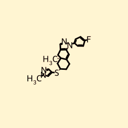 Cn1cc(S[C@H]2CCC3=Cc4c(cnn4-c4ccc(F)cc4)C[C@]3(C)C2)cn1